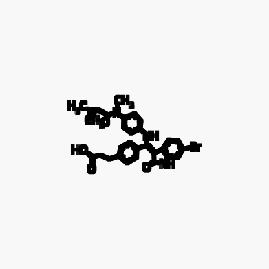 CN(C)CC(=O)N(C)c1ccc(NC(=C2C(=O)Nc3cc(Br)ccc32)c2ccc(CCC(=O)O)cc2)cc1